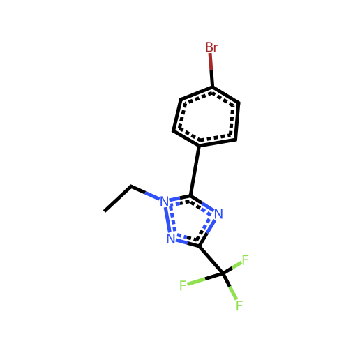 CCn1nc(C(F)(F)F)nc1-c1ccc(Br)cc1